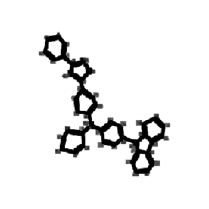 c1ccc(-c2noc(-c3ccc(N(c4ccccc4)c4ccc(-n5c6ccccc6c6ccccc65)cc4)cc3)n2)cc1